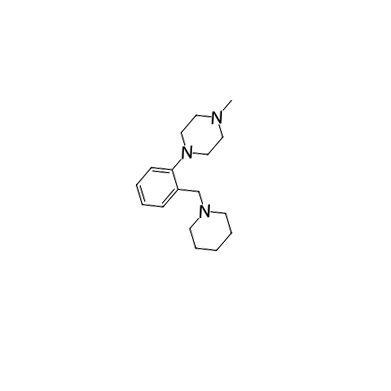 CN1CCN(c2ccccc2CN2CCCCC2)CC1